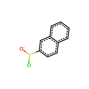 [O-][S+](Cl)c1ccc2ccccc2c1